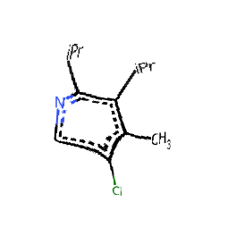 Cc1c(Cl)cnc(C(C)C)c1C(C)C